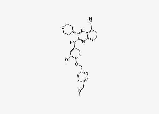 COCc1ccc(COc2ccc(Nc3nc4cccc(C#N)c4nc3N3CCOCC3)cc2OC)nc1